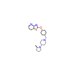 C=C1CCCN1C1CCN(Cc2ccc(Oc3nc4ncccc4s3)cc2)CC1